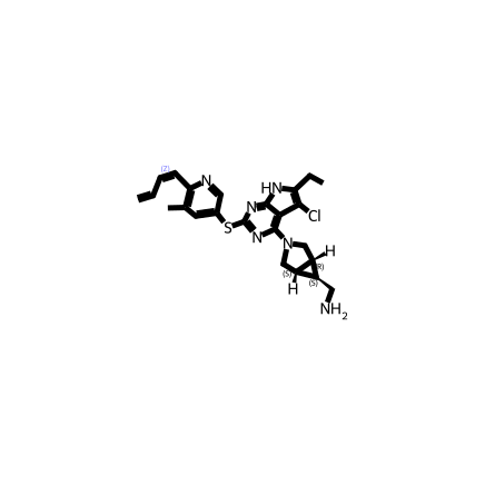 C=C/C=C\c1ncc(Sc2nc(N3C[C@@H]4[C@@H](CN)[C@@H]4C3)c3c(Cl)c(CC)[nH]c3n2)cc1C